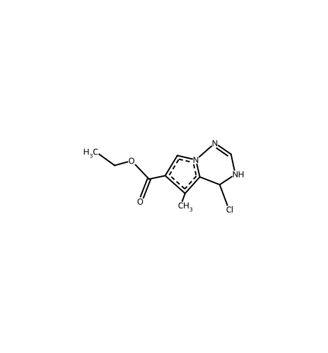 CCOC(=O)c1cn2c(c1C)C(Cl)NC=N2